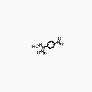 [CH]=NN(c1ccc([N+](=O)[O-])cc1)[N+](=O)[O-]